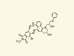 CN1C(=O)c2cc(C#N)c(/N=N/c3cc4c(c5cccc(O)c35)N(CC(O)COc3ccccc3)CC(O)C4)c(Br)c2C1=O